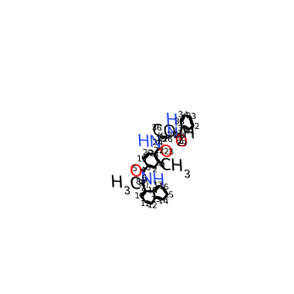 Cc1cc(C(=O)N[C@H](C)c2cccc3ccccc23)ccc1C(=O)N[C@@H](CNC(=O)c1ccccc1)C(=O)O